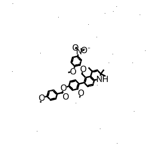 COc1ccc(C(=O)Oc2ccc(-c3ccc4c(c3COc3cc([N+](=O)[O-])ccc3OC)C(C)=CC(C)(C)N4)c(OC)c2)cc1